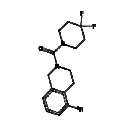 [2H]c1cccc2c1CCN(C(=O)N1CCC(F)(F)CC1)C2